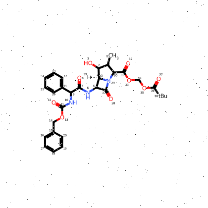 CC1C(O)[C@@H]2C(NC(=O)C(NC(=O)OCc3ccccc3)c3ccccc3)C(=O)N2C1C(=O)OCOC(=O)C(C)(C)C